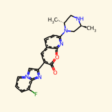 C[C@@H]1CN[C@@H](C)CN1c1ccc2cc(-c3cn4cccc(F)c4n3)c(=O)oc2n1